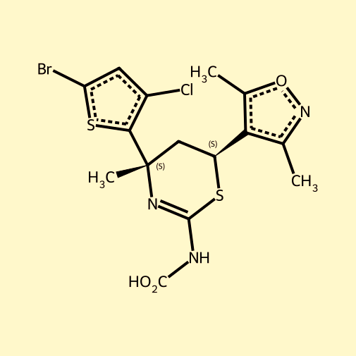 Cc1noc(C)c1[C@@H]1C[C@@](C)(c2sc(Br)cc2Cl)N=C(NC(=O)O)S1